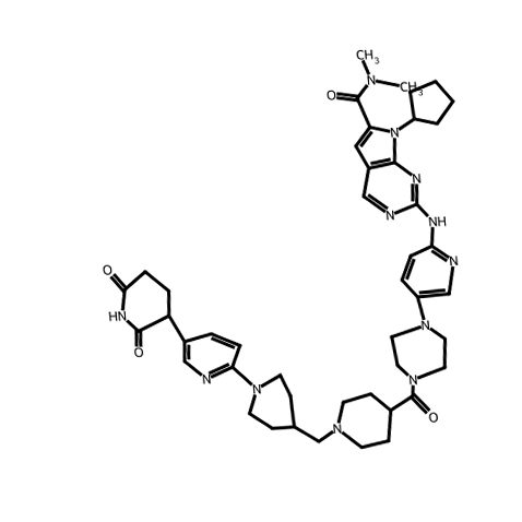 CN(C)C(=O)c1cc2cnc(Nc3ccc(N4CCN(C(=O)C5CCN(CC6CCN(c7ccc(C8CCC(=O)NC8=O)cn7)CC6)CC5)CC4)cn3)nc2n1C1CCCC1